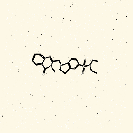 CCN(CC)S(=O)(=O)c1ccc2c(c1)CCN2Cc1nc2ccccc2c(=O)n1C